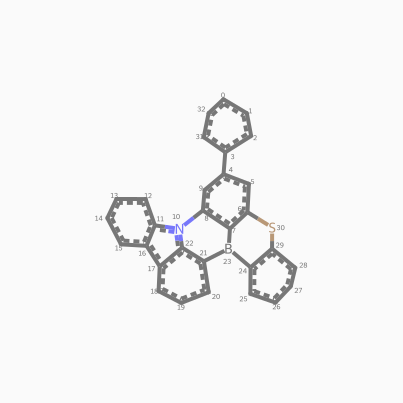 c1ccc(-c2cc3c4c(c2)-n2c5ccccc5c5cccc(c52)B4c2ccccc2S3)cc1